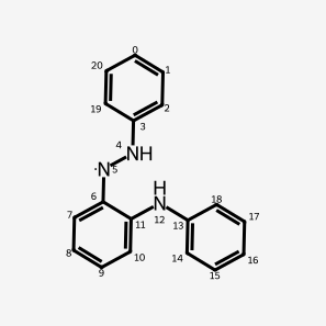 c1ccc(N[N]c2ccccc2Nc2ccccc2)cc1